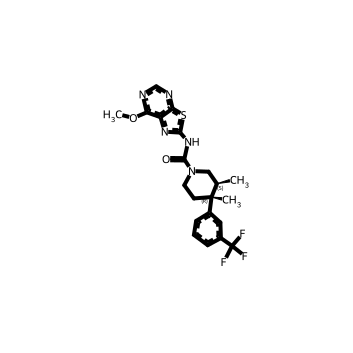 COc1ncnc2sc(NC(=O)N3CC[C@@](C)(c4cccc(C(F)(F)F)c4)[C@H](C)C3)nc12